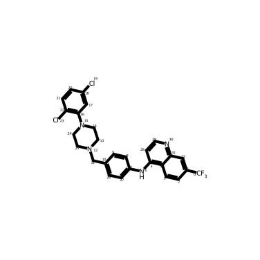 FC(F)(F)c1ccc2c(Nc3ccc(CN4CCN(c5cc(Cl)ccc5Cl)CC4)cc3)ccnc2c1